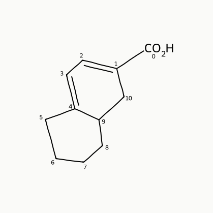 O=C(O)C1=CC=C2CCCCC2C1